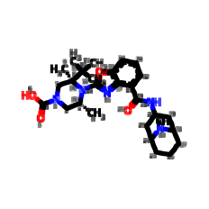 C[C@@H]1CN(C(=O)O)C[C@@](C)(C(C)(C)C)N1c1nc2c(C(=O)NC3CC4CCCC(C3)N4C)cccc2o1